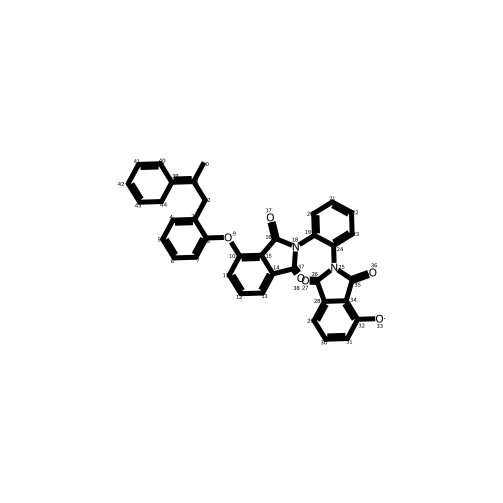 CC(Cc1ccccc1Oc1cccc2c1C(=O)N(c1ccccc1N1C(=O)c3cccc([O])c3C1=O)C2=O)=C1[C]=CC=CC1